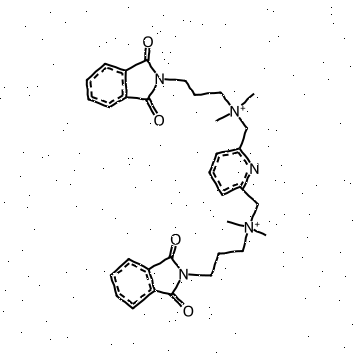 C[N+](C)(CCCN1C(=O)c2ccccc2C1=O)Cc1cccc(C[N+](C)(C)CCCN2C(=O)c3ccccc3C2=O)n1